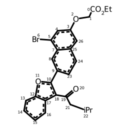 CCOC(=O)COc1cc(Br)c2cc(-c3oc4ccccc4c3C(=O)CC(C)C)ccc2c1